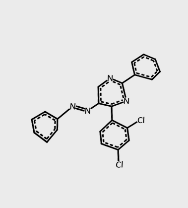 Clc1ccc(-c2nc(-c3ccccc3)ncc2N=Nc2ccccc2)c(Cl)c1